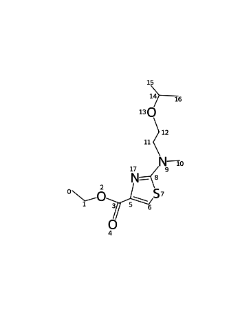 CCOC(=O)c1csc(N(C)CCOC(C)C)n1